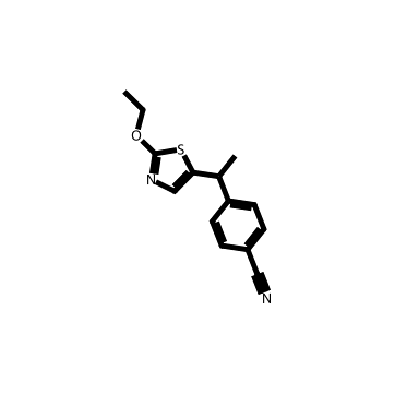 CCOc1ncc(C(C)c2ccc(C#N)cc2)s1